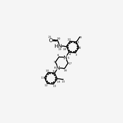 Cc1ccc(N2CCN(c3ccccc3C)CC2)c(NC=O)c1